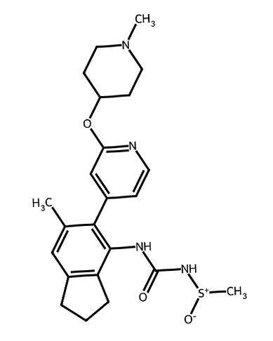 Cc1cc2c(c(NC(=O)N[S+](C)[O-])c1-c1ccnc(OC3CCN(C)CC3)c1)CCC2